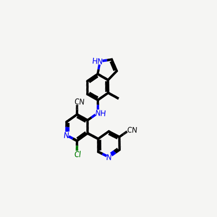 Cc1c(Nc2c(C#N)cnc(Cl)c2-c2cncc(C#N)c2)ccc2[nH]ccc12